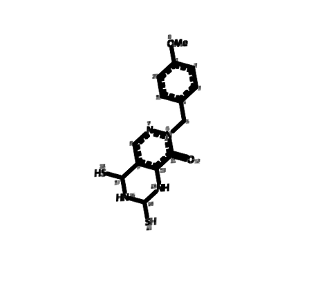 COc1ccc(Cn2ncc3c(c2=O)NC(S)NC3S)cc1